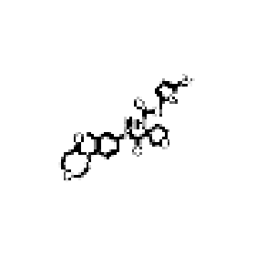 Cc1cc(NC(=O)C2(NC(=O)Oc3ccc(Br)s3)CCOC2)ccc1N1CCOCCC1=O